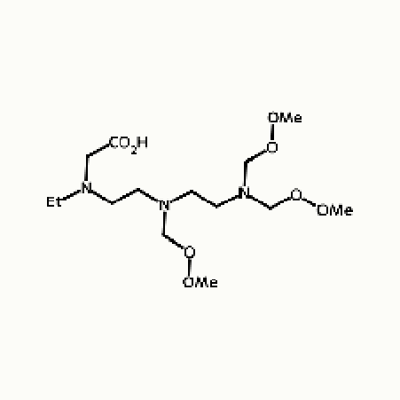 CCN(CCN(CCN(COOC)COOC)COOC)CC(=O)O